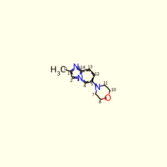 Cc1cn2cc(N3CCOCC3)ccc2n1